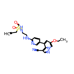 C#CC[SH](=O)(C=O)NCCNc1ccc(-c2cc(OCC)cn3ncc(C#N)c23)cn1